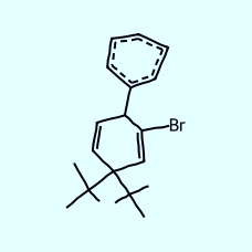 CC(C)(C)C1(C(C)(C)C)C=CC(c2ccccc2)C(Br)=C1